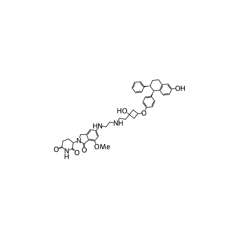 COc1cc(NCCNCCC2(O)CC(Oc3ccc([C@@H]4c5ccc(O)cc5CC[C@@H]4c4ccccc4)cc3)C2)cc2c1C(=O)N(C1CCC(=O)NC1=O)C2